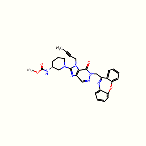 CC#CCn1c(N2CCC[C@@H](NC(=O)OC(C)(C)C)C2)nc2cnn(CC3=Nc4ccccc4Oc4ccccc43)c(=O)c21